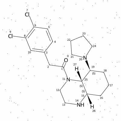 O=C(Cc1ccc(Cl)c(Cl)c1)N1CCN[C@H]2CCC[C@H](N3CCCC3)[C@H]21